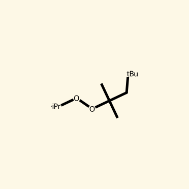 C[C](C)OOC(C)(C)CC(C)(C)C